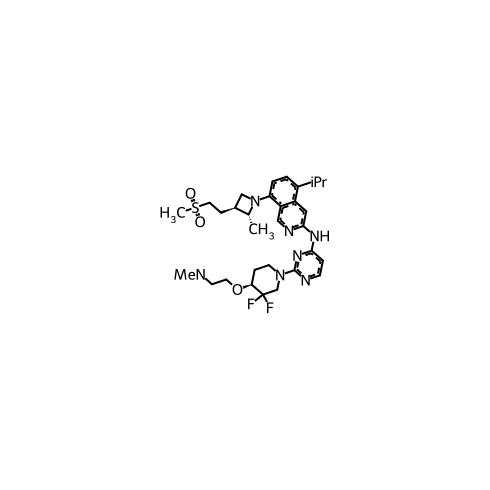 CNCCO[C@H]1CCN(c2nccc(Nc3cc4c(C(C)C)ccc(N5C[C@H](CCS(C)(=O)=O)[C@H]5C)c4cn3)n2)CC1(F)F